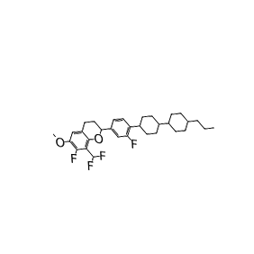 CCCC1CCC(C2CCC(c3ccc(C4CCc5cc(OC)c(F)c(C(F)F)c5O4)cc3F)CC2)CC1